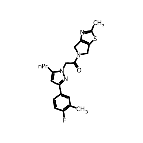 CCCc1cc(-c2ccc(F)c(C)c2)nn1CC(=O)N1Cc2nc(C)sc2C1